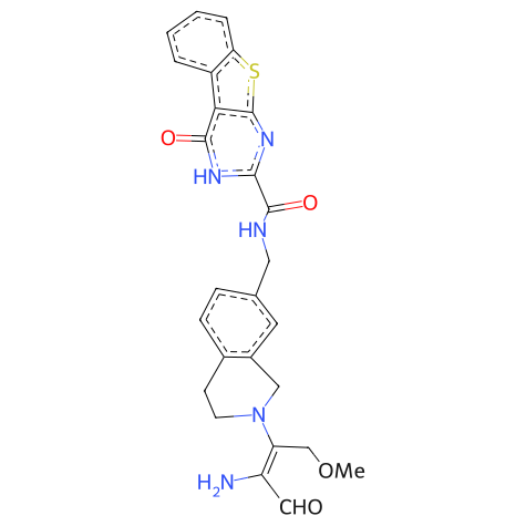 COC/C(=C(/N)C=O)N1CCc2ccc(CNC(=O)c3nc4sc5ccccc5c4c(=O)[nH]3)cc2C1